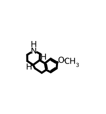 COc1ccc2c(c1)[C@H]1CNCC[C@@H]1CC2